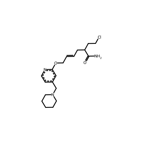 NC(=O)C(CC=CCOc1cc(CN2CCCCC2)ccn1)CCCl